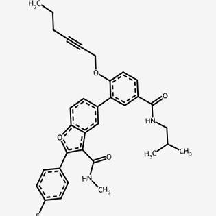 CCCC#CCOc1ccc(C(=O)NCC(C)C)cc1-c1ccc2oc(-c3ccc(F)cc3)c(C(=O)NC)c2c1